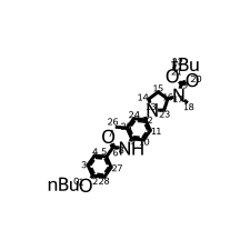 CCCCOc1ccc(C(=O)Nc2ccc(N3CCC(N(C)C(=O)OC(C)(C)C)C3)cc2C)cc1